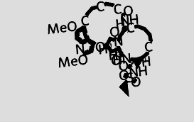 COc1cc2c3cc(c(OC)cc3n1)CCCCCCCC(=O)N[C@H]1CCCCCCC[C@@H]3C[C@@]3(C(=O)NS(=O)(=O)C3CC3)NC(=O)[C@@H]3C[C@H](CN3C1=O)O2